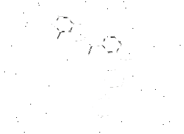 CCN(c1cc(Cl)cc(C(=O)NCc2c(C)cc(C)[nH]c2=O)c1C)[C@H]1CC[C@@H](N2CCN(C)CC2)CC1